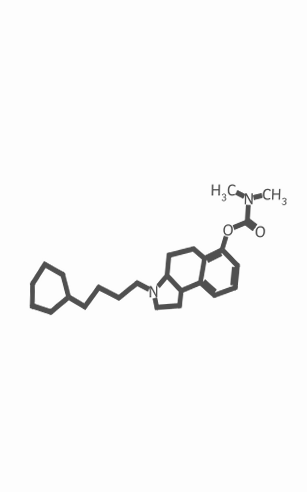 CN(C)C(=O)Oc1cccc2c1CCC1C2CCN1CCCCC1CCCCC1